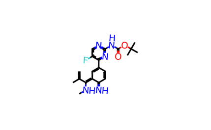 C=C(C)/C(NC)=C1\C=C(c2nc(NC(=O)OC(C)(C)C)ncc2F)C=CC1=N